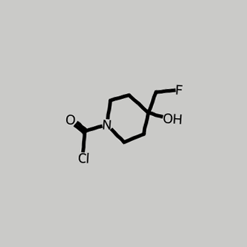 O=C(Cl)N1CCC(O)(CF)CC1